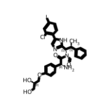 C[C@@H](c1ccccc1)[C@@H](c1ncc(-c2ccc(I)cc2Cl)[nH]1)N(C=O)C(=O)[C@H](N)c1ccc(OC[C@H](O)CO)cc1